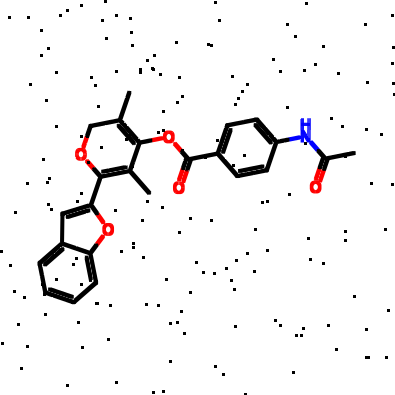 CC(=O)Nc1ccc(C(=O)OC2=C(C)COC(c3cc4ccccc4o3)=C2C)cc1